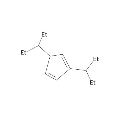 CCC(CC)C1=CC(C(CC)CC)[C]=C1